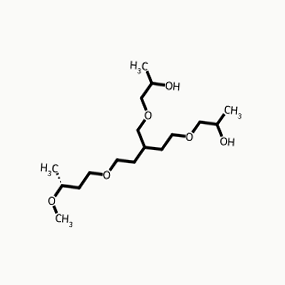 CO[C@H](C)CCOCCC(CCOCC(C)O)COCC(C)O